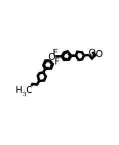 CCCC1CCC(c2ccc(OC(F)(F)c3ccc(C4CCC(C5CC(=O)O5)CC4)cc3)cc2)CC1